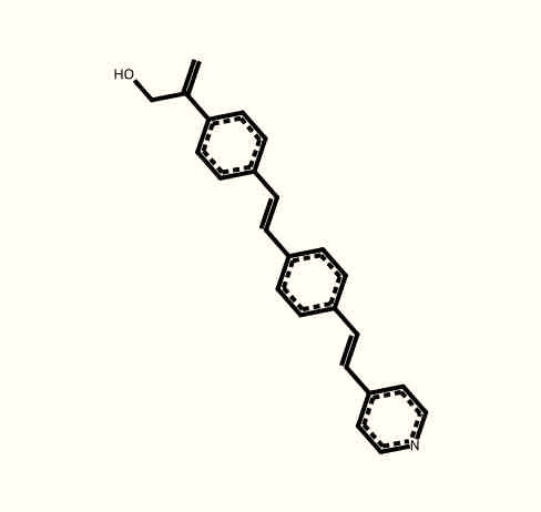 C=C(CO)c1ccc(C=Cc2ccc(C=Cc3ccncc3)cc2)cc1